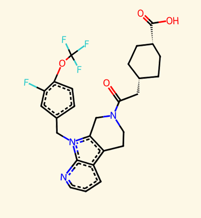 O=C(C[C@H]1CC[C@@H](C(=O)O)CC1)N1CCc2c(n(Cc3ccc(OC(F)(F)F)c(F)c3)c3ncccc23)C1